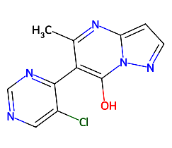 Cc1nc2ccnn2c(O)c1-c1ncncc1Cl